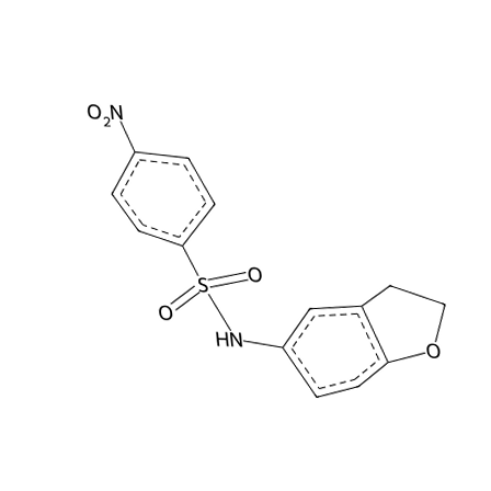 O=[N+]([O-])c1ccc(S(=O)(=O)Nc2ccc3c(c2)CCO3)cc1